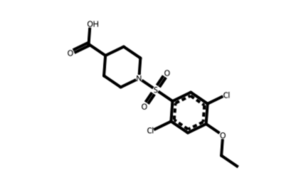 CCOc1cc(Cl)c(S(=O)(=O)N2CCC(C(=O)O)CC2)cc1Cl